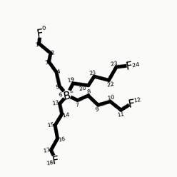 FCCCCC[B-](CCCCCF)(CCCCCF)CCCCCF